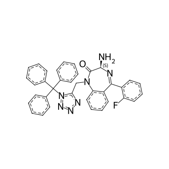 N[C@H]1N=C(c2ccccc2F)c2ccccc2N(Cc2nnnn2C(c2ccccc2)(c2ccccc2)c2ccccc2)C1=O